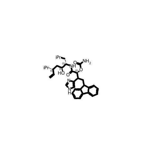 C=C[C@@H](C[C@H](O)[C@H](CC(C)C)NC(=O)[C@@H](OC(N)=O)C(CC1c2ccccc2-c2ccccc21)c1c[nH]cn1)C(C)C